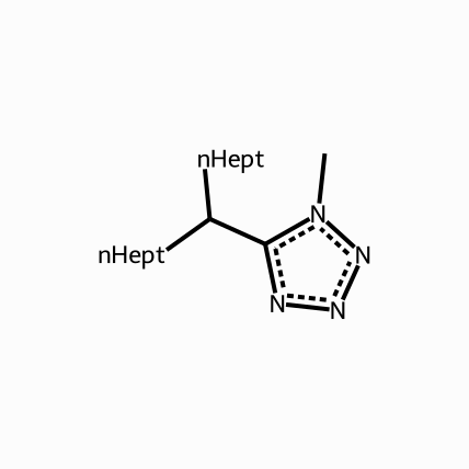 CCCCCCCC(CCCCCCC)c1nnnn1C